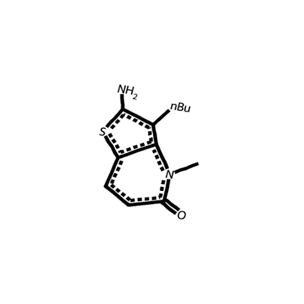 CCCCc1c(N)sc2ccc(=O)n(C)c12